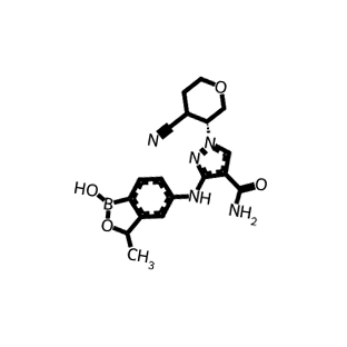 CC1OB(O)c2ccc(Nc3nn([C@H]4COCCC4C#N)cc3C(N)=O)cc21